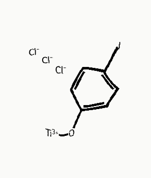 [Cl-].[Cl-].[Cl-].[Ti+3][O]c1ccc(I)cc1